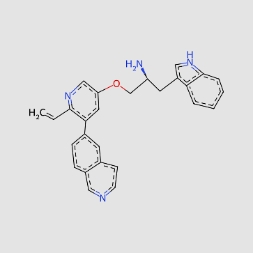 C=Cc1ncc(OC[C@@H](N)Cc2c[nH]c3ccccc23)cc1-c1ccc2cnccc2c1